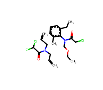 C=CCN(CC=C)C(=O)C(Cl)Cl.CCOCN(C(=O)CCl)c1c(C)cccc1CC